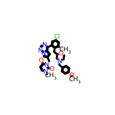 COc1ccc(CN2CCOC(Cc3c(C)cc(Cl)cc3-c3ncnn4cc(Cn5c(=O)ccn(C)c5=O)cc34)C2)cc1